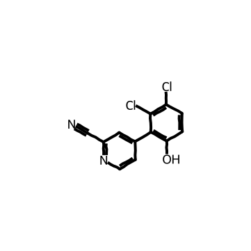 N#Cc1cc(-c2c(O)ccc(Cl)c2Cl)ccn1